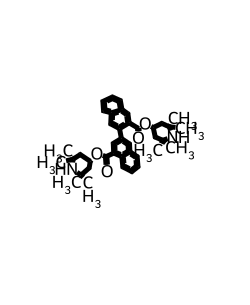 CC1(C)CC(OC(=O)c2cc3ccccc3cc2-c2cc(C(=O)OC3CC(C)(C)NC(C)(C)C3)c3ccccc3c2)CC(C)(C)N1